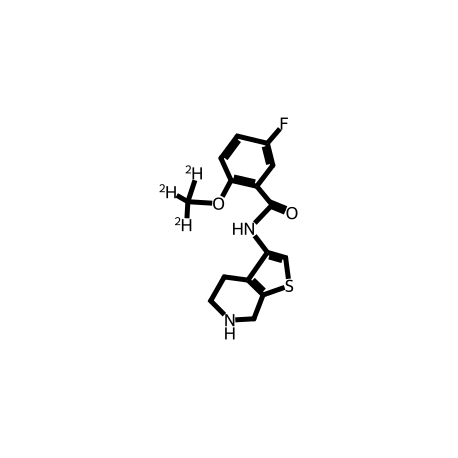 [2H]C([2H])([2H])Oc1ccc(F)cc1C(=O)Nc1csc2c1CCNC2